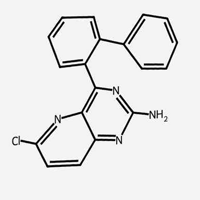 Nc1nc(-c2ccccc2-c2ccccc2)c2nc(Cl)ccc2n1